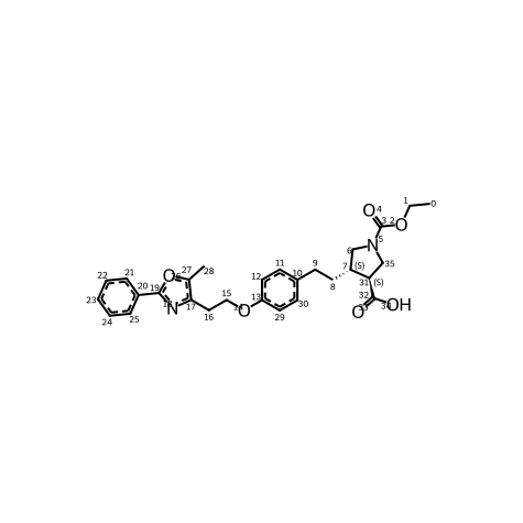 CCOC(=O)N1C[C@@H](CCc2ccc(OCCc3nc(-c4ccccc4)oc3C)cc2)[C@H](C(=O)O)C1